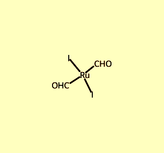 O=[CH][Ru]([I])([I])[CH]=O